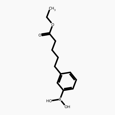 CCOC(=O)CCCCc1cccc(B(O)O)c1